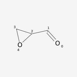 O=[C]C1CO1